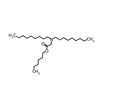 CCCCCCCCCN(CCCCCCCCC)CC(=O)OCCCCCC